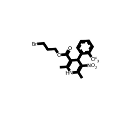 CC1=C(C(=O)OCCCBr)C(c2ccccc2C(F)(F)F)C([N+](=O)[O-])=C(C)N1